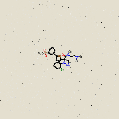 CCN(CC)CCN(C)C(=O)C1(c2ccc(-c3cccc(S(C)(=O)=O)c3)s2)C=CNN1c1ccccc1Cl